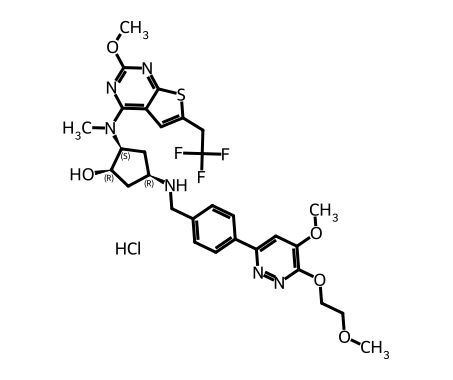 COCCOc1nnc(-c2ccc(CN[C@H]3C[C@@H](O)[C@@H](N(C)c4nc(OC)nc5sc(CC(F)(F)F)cc45)C3)cc2)cc1OC.Cl